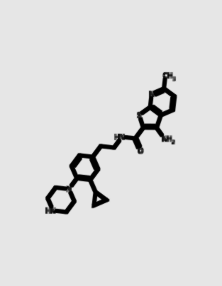 Cc1ccc2c(N)c(C(=O)NCCc3ccc(N4CCNCC4)c(C4CC4)c3)sc2n1